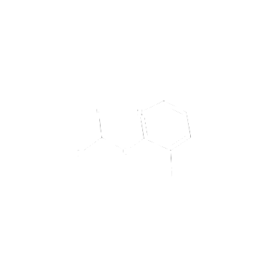 FC(F)Oc1ncccc1I